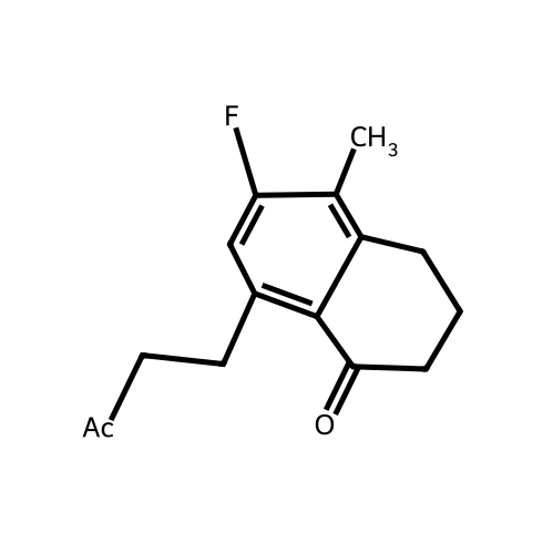 CC(=O)CCc1cc(F)c(C)c2c1C(=O)CCC2